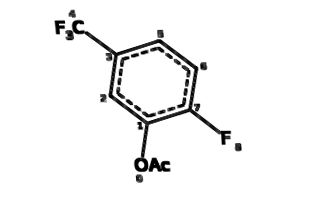 CC(=O)Oc1cc(C(F)(F)F)ccc1F